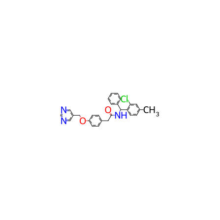 Cc1ccc(C(NC(=O)Cc2ccc(OCc3cncnc3)cc2)c2ccccc2)c(Cl)c1